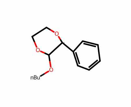 CCCCOC1OCCO[C]1c1ccccc1